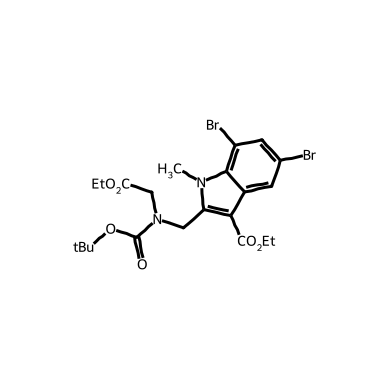 CCOC(=O)CN(Cc1c(C(=O)OCC)c2cc(Br)cc(Br)c2n1C)C(=O)OC(C)(C)C